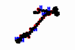 CC(C)(C)OC(=O)NCCCCC(NC(=O)OCC1c2ccccc2-c2ccccc21)C(=O)NCCOCCOCCOCCOCCNC(=O)CCCn1oc2ccc(NC(=O)C3=CN4C=CSC4N3)cc2c1=O